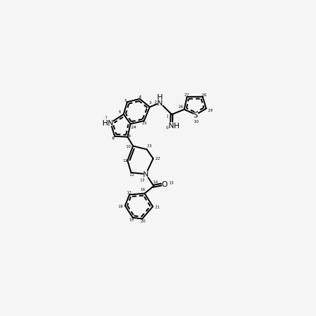 N=C(Nc1ccc2[nH]cc(C3=CCN(C(=O)c4ccccc4)CC3)c2c1)c1cccs1